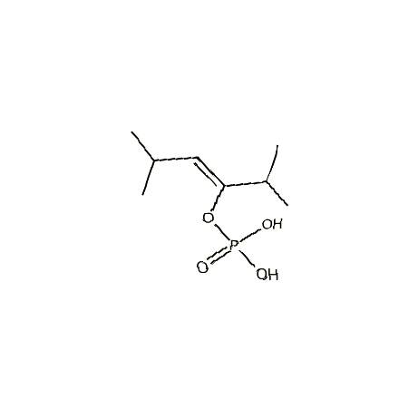 CC(C)C=C(OP(=O)(O)O)C(C)C